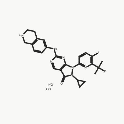 CC(C)(F)c1nc(-n2c3nc(Nc4ccc5c(c4)CCNC5)ncc3c(=O)n2C2CC2)ccc1F.Cl.Cl